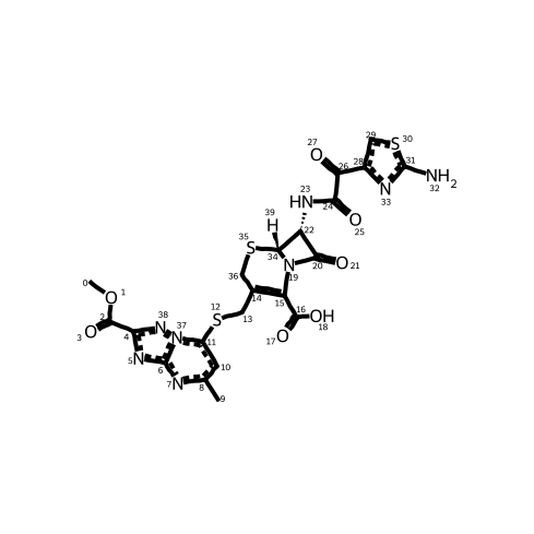 COC(=O)c1nc2nc(C)cc(SCC3=C(C(=O)O)N4C(=O)[C@@H](NC(=O)C(=O)c5csc(N)n5)[C@H]4SC3)n2n1